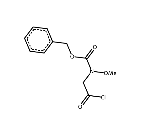 CON(CC(=O)Cl)C(=O)OCc1ccccc1